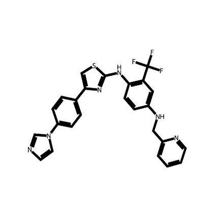 FC(F)(F)c1cc(NCc2ccccn2)ccc1Nc1nc(-c2ccc(-n3ccnc3)cc2)cs1